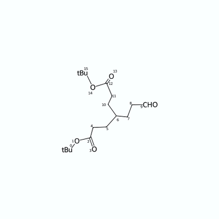 CC(C)(C)OC(=O)CCC(CCC=O)CCC(=O)OC(C)(C)C